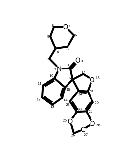 O=C1N(CC2CCOCC2)c2ccccc2C12COc1cc3c(cc12)OCCO3